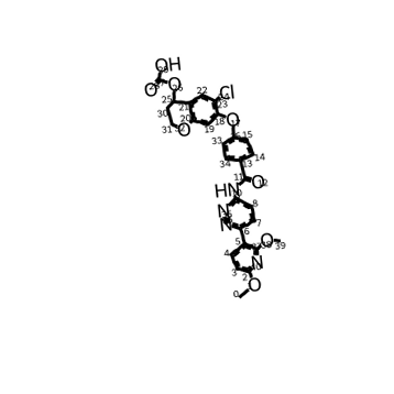 COc1ccc(-c2ccc(NC(=O)c3ccc(Oc4cc5c(cc4Cl)C(OC(=O)O)CCO5)cc3)nn2)c(OC)n1